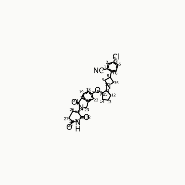 N#Cc1cc(Cl)ccc1C1CN(C2CCC[C@H]2Oc2ccc3c(c2)CN(C2CCC(=O)NC2=O)C3=O)C1